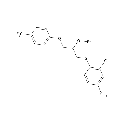 CCOC(COc1ccc(C(F)(F)F)cc1)CSc1ccc(C)cc1Cl